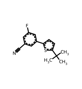 CC(C)(C)c1ccc(-c2cc(F)cc(C#N)c2)s1